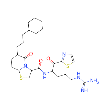 N=C(N)NCCCC(NC(=O)C1CSC2CCC(CCCC3CCCCC3)C(=O)N21)C(=O)c1nccs1